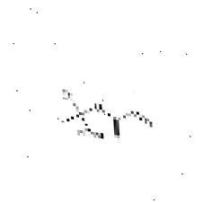 C=C(C)C(=O)OC(C)(CC)CCCCC